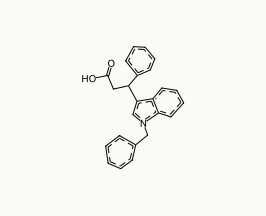 O=C(O)CC(c1ccccc1)c1cn(Cc2ccccc2)c2ccccc12